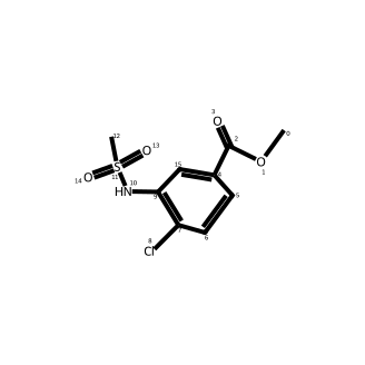 COC(=O)c1ccc(Cl)c(NS(C)(=O)=O)c1